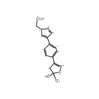 O=C(O)Cn1cc(-c2ccc(C3=NOC(O)(C(F)(F)F)C3)cc2)cn1